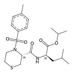 Cc1ccc(S(=O)(=O)N2CCSC[C@H]2C(=O)N[C@H](CC(C)C)C(=O)OC(C)C)cc1